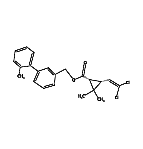 Cc1ccccc1-c1cccc(COC(=O)[C@@H]2[C@H](C=C(Cl)Cl)C2(C)C)c1